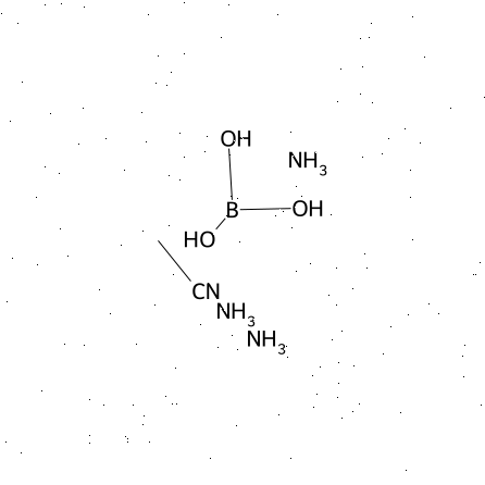 CC#N.N.N.N.OB(O)O